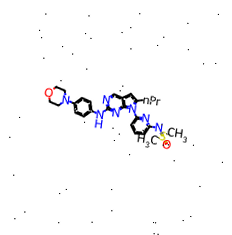 CCCc1cc2cnc(Nc3ccc(N4CCOCC4)cc3)nc2n1-c1cccc(N=S(C)(C)=O)n1